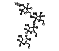 O=P([O-])([O-])C(O)P(=O)([O-])OCCl.O=P([O-])([O-])C(O)P(=O)([O-])OCCl.O=P([O-])([O-])C(O)P(=O)([O-])OCCl.O=P([O-])([O-])C(O)P(=O)([O-])OCCl.[Ti+4].[Ti+4].[Ti+4]